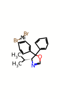 CC(C)[C@H]1N=COC1(c1ccccc1)c1ccccc1.[Br][Ni][Br]